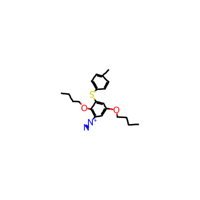 CCCCOc1cc([N+]#N)c(OCCCC)c(Sc2ccc(C)cc2)c1